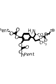 CCCCCOC(=O)Oc1ccc(C(CC(C)OC(=O)OCC(C)(C)C)[C@H](N)C(=O)O)cc1OC(=O)OCCCCC